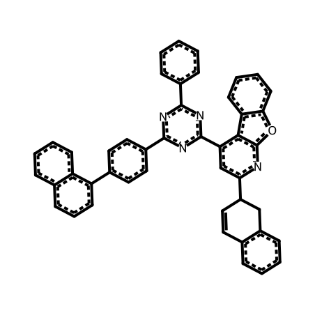 C1=CC(c2cc(-c3nc(-c4ccccc4)nc(-c4ccc(-c5cccc6ccccc56)cc4)n3)c3c(n2)oc2ccccc23)Cc2ccccc21